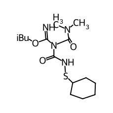 CCC(C)OC(=N)N(C(=O)NSC1CCCCC1)C(=O)N(C)C